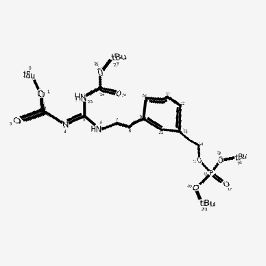 CC(C)(C)OC(=O)N=C(NCCc1cccc(COP(=O)(OC(C)(C)C)OC(C)(C)C)c1)NC(=O)OC(C)(C)C